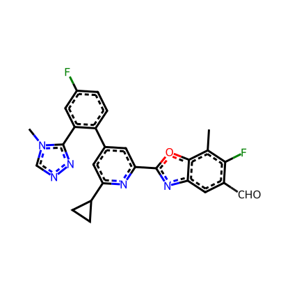 Cc1c(F)c(C=O)cc2nc(-c3cc(-c4ccc(F)cc4-c4nncn4C)cc(C4CC4)n3)oc12